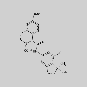 COc1ccc2c(n1)CCN(C(=O)O)C2C(=O)Nc1cc(F)c2c(c1)CCC2(C)C